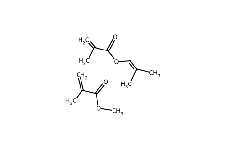 C=C(C)C(=O)OC.C=C(C)C(=O)OC=C(C)C